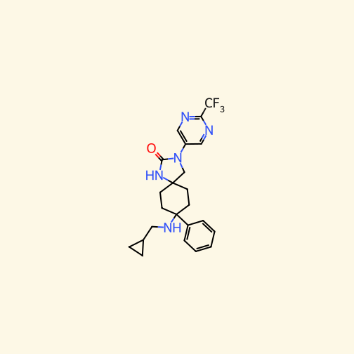 O=C1NC2(CCC(NCC3CC3)(c3ccccc3)CC2)CN1c1cnc(C(F)(F)F)nc1